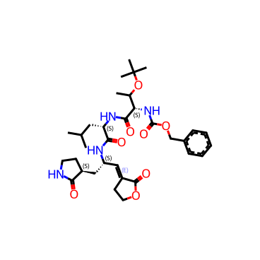 CC(C)C[C@H](NC(=O)[C@@H](NC(=O)OCc1ccccc1)C(C)OC(C)(C)C)C(=O)N[C@H](/C=C1\CCOC1=O)C[C@@H]1CCNC1=O